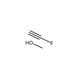 C#CF.CO